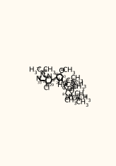 COc1cc(OCC(CN(C)C(=O)OC(C)(C)C)O[Si](C)(C)C(C)(C)C)cc(-c2cc(Cl)c3cnn(C(C)C)c3n2)c1